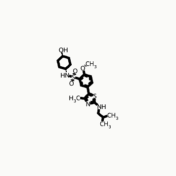 COc1ccc(-c2sc(NCC(C)C)nc2C)cc1S(=O)(=O)N[C@H]1CC[C@H](O)CC1